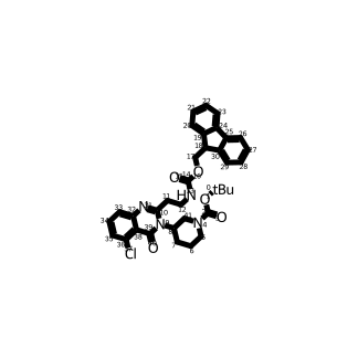 CC(C)(C)OC(=O)N1CCCC(n2c(CCNC(=O)OCC3c4ccccc4-c4ccccc43)nc3cccc(Cl)c3c2=O)C1